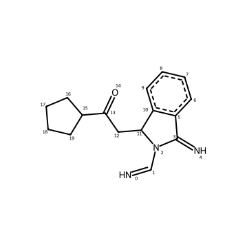 N=CN1C(=N)c2ccccc2C1CC(=O)C1CCCC1